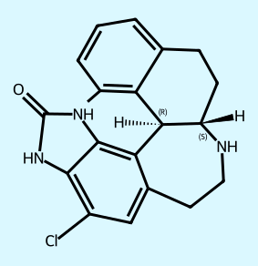 Cc1cccc2c1[C@@H]1c3c(cc(Cl)c4[nH]c(=O)[nH]c34)CCN[C@H]1CC2